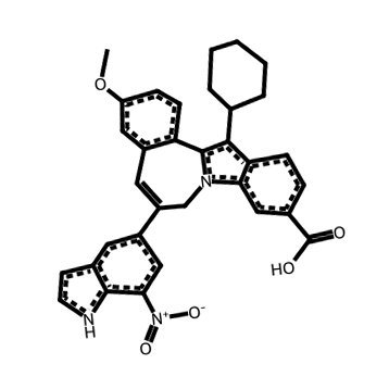 COc1ccc2c(c1)C=C(c1cc([N+](=O)[O-])c3[nH]ccc3c1)Cn1c-2c(C2CCCCC2)c2ccc(C(=O)O)cc21